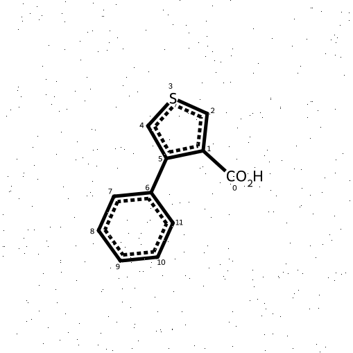 O=C(O)c1cscc1-c1ccccc1